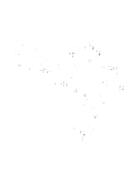 O=C(Nc1cncc(-c2cc3c(-c4cc5c(-c6cc(F)cc(OCCN7CCCC7)c6)cncc5[nH]4)n[nH]c3cn2)c1)C1CCCCC1